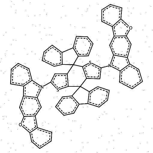 c1ccc2c(c1)-c1ccccc1C21c2cc(-n3c4ccccc4c4cc5oc6ccccc6c5cc43)sc2C2(c3ccccc3-c3ccccc32)c2cc(-n3c4ccccc4c4cc5oc6ccccc6c5cc43)sc21